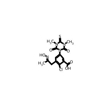 CC(Cc1cc(-n2c(=O)n(C)c(=S)n(C)c2=O)cc(C(=O)O)c1Cl)=NO